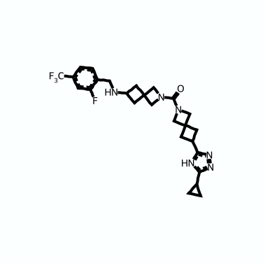 O=C(N1CC2(CC(NCc3ccc(C(F)(F)F)cc3F)C2)C1)N1CC2(CC(c3nnc(C4CC4)[nH]3)C2)C1